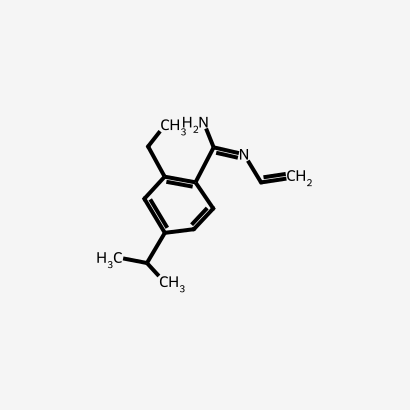 C=C/N=C(/N)c1ccc(C(C)C)cc1CC